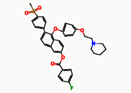 CS(=O)(=O)c1ccc(-c2ccc3cc(OC(=O)c4ccc(F)cc4)ccc3c2Oc2ccc(OCCN3CCCCC3)cc2)cc1